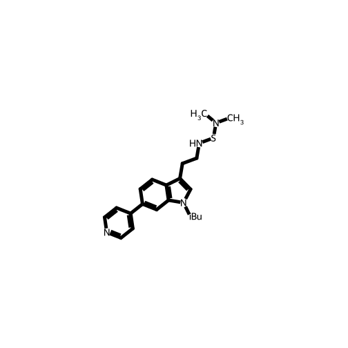 CCC(C)n1cc(CCNSN(C)C)c2ccc(-c3ccncc3)cc21